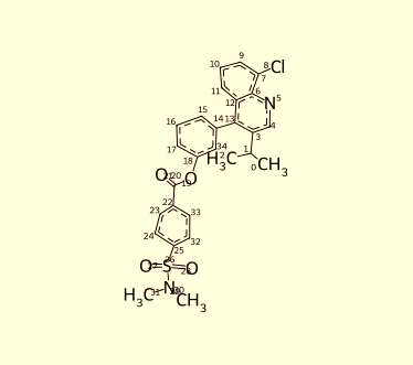 CC(C)c1cnc2c(Cl)cccc2c1-c1cccc(OC(=O)c2ccc(S(=O)(=O)N(C)C)cc2)c1